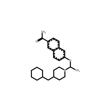 CC(=O)c1ccc2cc(OC(C)N3CCC(CC4CCCCC4)CC3)ccc2c1